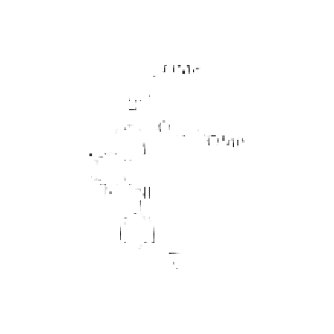 COCCOc1cc2ncnc(Nc3cccc(C4CC4)c3)c2cc1OCCOC